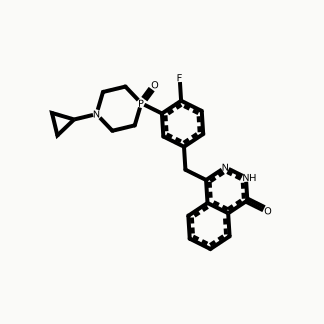 O=c1[nH]nc(Cc2ccc(F)c(P3(=O)CCN(C4CC4)CC3)c2)c2ccccc12